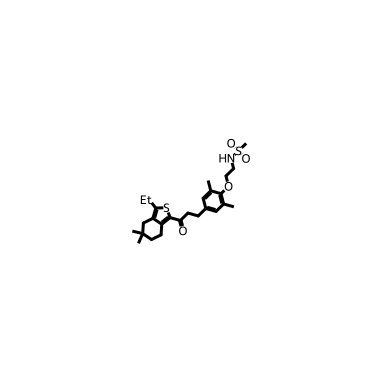 CCc1sc(C(=O)CCc2cc(C)c(OCCNS(C)(=O)=O)c(C)c2)c2c1CC(C)(C)CC2